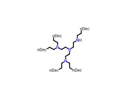 CCCCCCCCCCCCNCCN(CCN(CCCCCCCCCCCC)CCCCCCCCCCCC)CCN(CCCCCCCCCCCC)CCCCCCCCCCCC